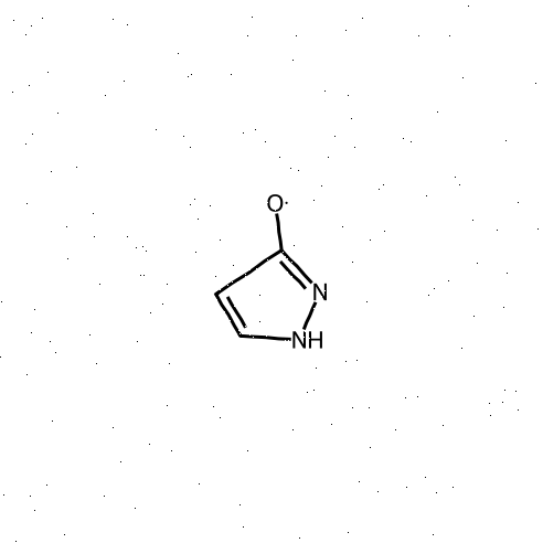 [O]c1cc[nH]n1